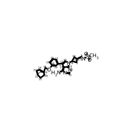 CS(=O)(=O)NCC1CC(n2cc(-c3cccc(OCC45CCC(CC4)O5)c3)c3c(N)ncnc32)C1